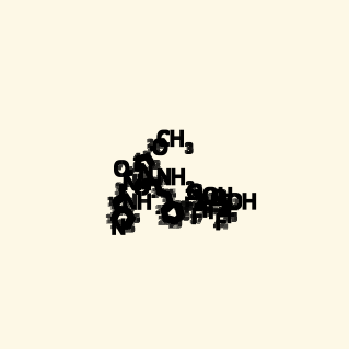 COC[C@H]1C[C@@H](C(=O)NCc2cc3cnccc3[nH]2)N(C(=O)[C@H](N)CCc2ccccc2)C1.O=C(O)C(F)(F)F.O=C(O)C(F)(F)F